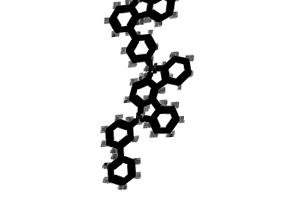 C1=Cc2c(n(-c3ccc(-c4cccc5sc6ccccc6c45)cc3)c3ccc4c(c5ccccc5n4-c4cccc(-c5ccccc5)c4)c23)CC1